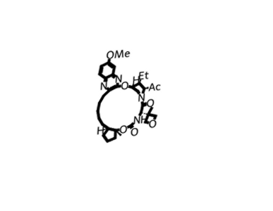 CC[C@@H]1[C@@H]2CN(C(=O)[C@H](C3(C)COC3)NC(=O)O[C@]3(C)CCC[C@H]3CCCCCc3nc4ccc(OC)cc4nc3O2)[C@@H]1C(C)=O